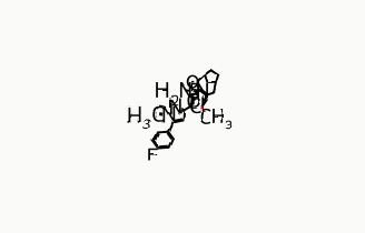 CCCN(C1C2CCC1CC(/C=C/c1cc(-c3ccc(F)cc3)n(C)n1)=C(Cl)C2)S(N)(=O)=O